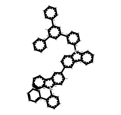 c1ccc2c3cc(-c4ccc5c(c4)c4ccccc4n5-c4cccc(-c5cc(-c6ccccc6)cc(-c6ccccc6)c5)c4)ccc3n(-c3ccccc3C3=CC=CCC3)c2c#1